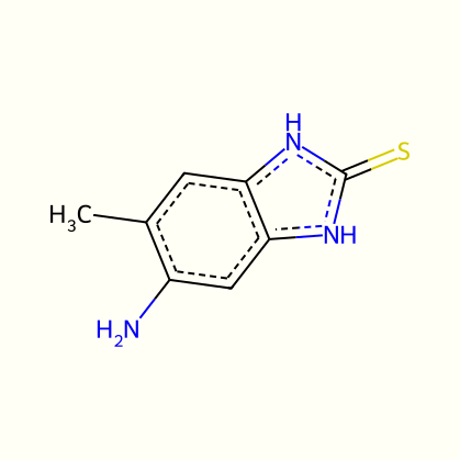 Cc1cc2[nH]c(=S)[nH]c2cc1N